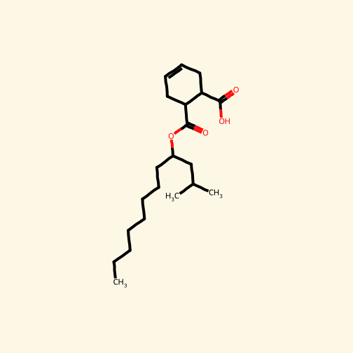 CCCCCCCCC(CC(C)C)OC(=O)C1CC=CCC1C(=O)O